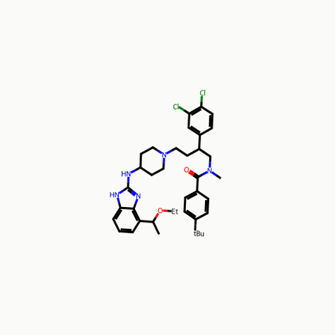 CCOC(C)c1cccc2[nH]c(NC3CCN(CCC(CN(C)C(=O)c4ccc(C(C)(C)C)cc4)c4ccc(Cl)c(Cl)c4)CC3)nc12